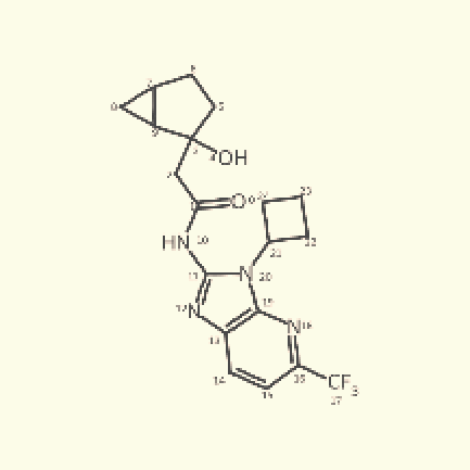 O=C(CC1(O)CCC2CC21)Nc1nc2ccc(C(F)(F)F)nc2n1C1CCC1